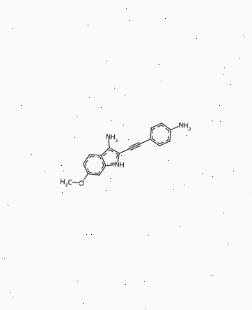 COc1ccc2c(N)c(C#Cc3ccc(N)cc3)[nH]c2c1